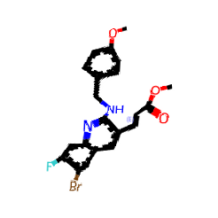 COC(=O)/C=C/c1cc2cc(Br)c(F)cc2nc1NCc1ccc(OC)cc1